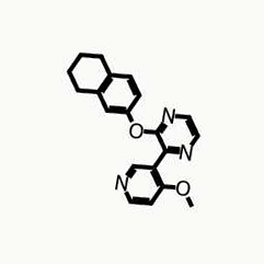 COc1ccncc1-c1nccnc1Oc1ccc2c(c1)CCCC2